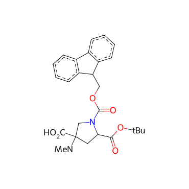 CNC1(C(=O)O)CC(C(=O)OC(C)(C)C)N(C(=O)OCC2c3ccccc3-c3ccccc32)C1